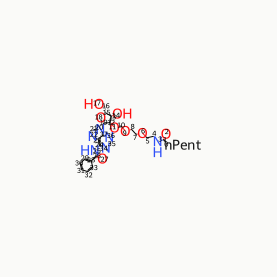 CCCCCC(=O)NCCOCCOCOC1C(O)[C@@H](CO)O[C@H]1n1cnc2c(NC(=O)c3ccccc3)ncnc21